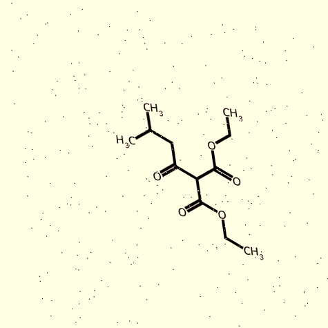 CCOC(=O)C(C(=O)CC(C)C)C(=O)OCC